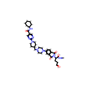 CNC(=O)C(CCC=O)N1C(=O)c2ccc(N3CCN(CC4CCN(c5ncc(C(=O)NC6CCCCC6)cn5)CC4)CC3)cc2C1=O